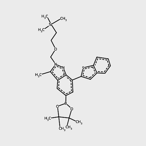 Cc1c2cc(B3OC(C)(C)C(C)(C)O3)cc(-c3cc4ccccc4s3)c2nn1COCC[Si](C)(C)C